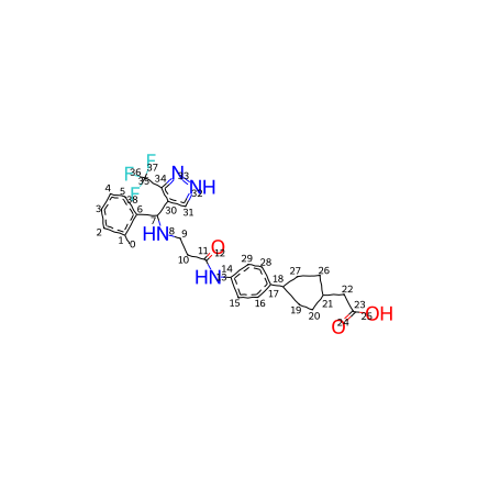 Cc1ccccc1C(NCCC(=O)Nc1ccc(C2CCC(CC(=O)O)CC2)cc1)c1c[nH]nc1C(F)(F)F